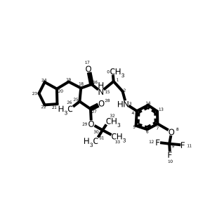 CC(CNc1ccc(OC(F)(F)F)cc1)NC(=O)C(CC1CCCC1)C(C)C(=O)OC(C)(C)C